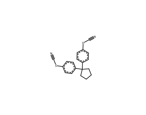 N#COc1ccc(C2(c3ccc(OC#N)cc3)CCCC2)cc1